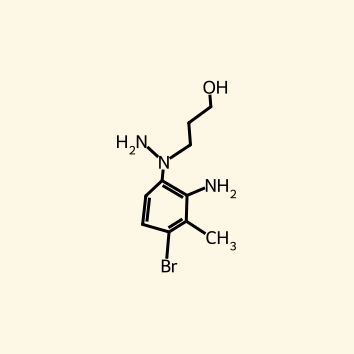 Cc1c(Br)ccc(N(N)CCCO)c1N